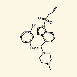 C=CCS(=O)(=O)n1ccc2c(CN3CCN(C)CC3)cccc21.COc1cccc(Br)c1